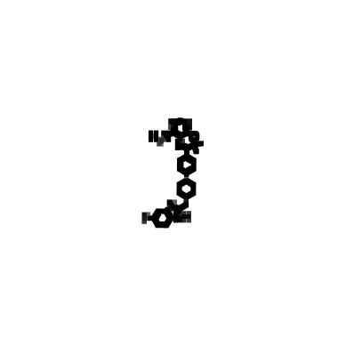 CC1(C)Oc2ncnc(N)c2N=C1c1ccc([C@H]2CC[C@H](Cc3nc4cc(F)ccc4[nH]3)CC2)cc1